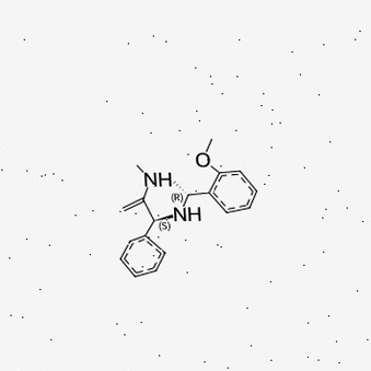 C=C(NC)[C@@H](N[C@H](C)c1ccccc1OC)c1ccccc1